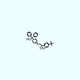 CC(C)(C)c1ccc(C(O)CCN2CCC(C(O)(c3ccccc3)c3ccccc3)CC2)cc1